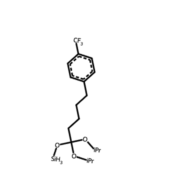 CC(C)OC(CCCCc1ccc(C(F)(F)F)cc1)(O[SiH3])OC(C)C